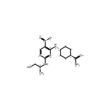 C[C@@H](CO)Nc1ncc([N+](=O)[O-])c(N[C@H]2CC[C@H](C(N)=O)CC2)n1